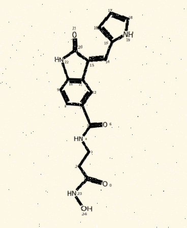 O=C(CCNC(=O)c1ccc2c(c1)/C(=C/c1ccc[nH]1)C(=O)N2)NO